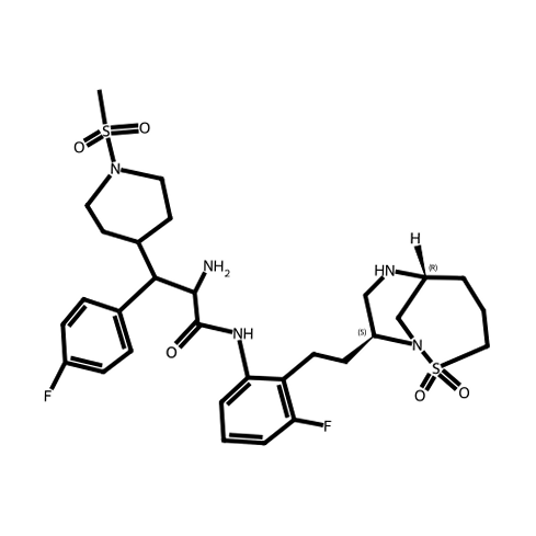 CS(=O)(=O)N1CCC(C(c2ccc(F)cc2)C(N)C(=O)Nc2cccc(F)c2CC[C@H]2CN[C@@H]3CCCS(=O)(=O)N2C3)CC1